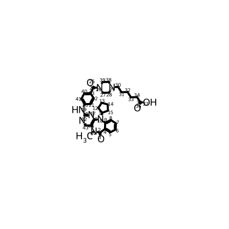 CN1C(=O)c2ccccc2N(C2CCCC2)c2nc(Nc3ccc(C(=O)N4CCN(CCCCCC(=O)O)CC4)cc3)ncc21